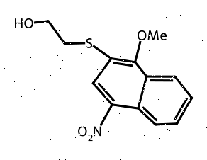 COc1c(SCCO)cc([N+](=O)[O-])c2ccccc12